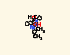 Cc1ccc(/N=N/c2c(O)c(C(=O)Nc3ccccc3C)cc3ccccc23)c(C)c1